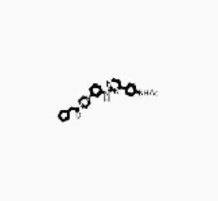 CC(=O)Nc1ccc(-c2ccnc(Nc3cccc(N4CCN(C(=O)CC5CCCC5)CC4)c3)n2)cc1